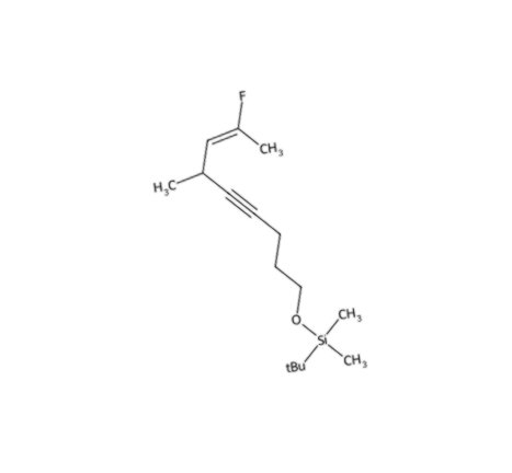 C/C(F)=C\C(C)C#CCCCO[Si](C)(C)C(C)(C)C